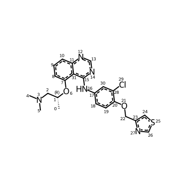 C[C@H](CN(C)C)Oc1cccc2ncnc(Nc3ccc(OCc4cscn4)c(Cl)c3)c12